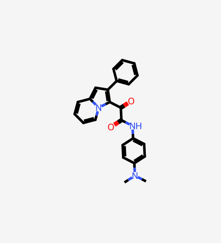 CN(C)c1ccc(NC(=O)C(=O)c2c(-c3ccccc3)cc3ccccn23)cc1